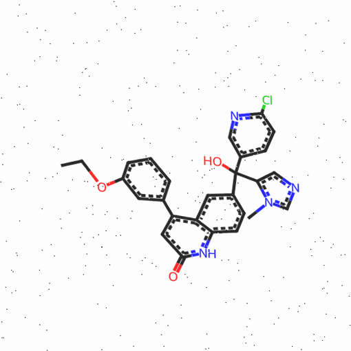 CCOc1cccc(-c2cc(=O)[nH]c3ccc(C(O)(c4ccc(Cl)nc4)c4cncn4C)cc23)c1